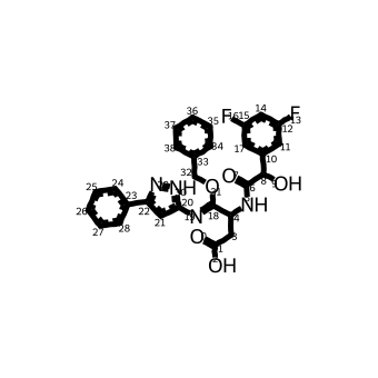 O=C(O)CC(NC(=O)C(O)c1cc(F)cc(F)c1)C(=Nc1cc(-c2ccccc2)n[nH]1)OCc1ccccc1